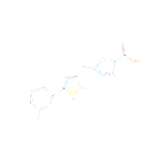 Cc1cccc(-c2nc(Cn3cc(C(=O)O)cn3)cs2)c1